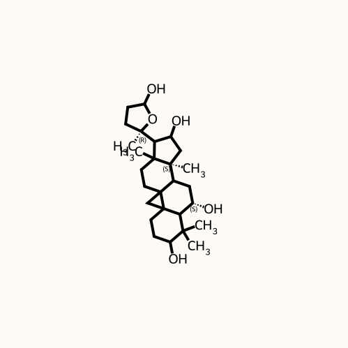 CC1(C)C(O)CCC23CC24CCC2(C)C([C@@]5(C)CCC(O)O5)C(O)C[C@@]2(C)C4C[C@H](O)C13